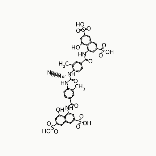 Cc1cc(C(=O)Nc2cc(S(=O)(=O)O)cc3cc(S(=O)(=O)O)cc(O)c23)ccc1NC(=O)Nc1ccc(C(=O)Nc2cc(S(=O)(=O)O)cc3cc(S(=O)(=O)O)cc(O)c23)cc1C.[Na].[Na].[Na].[Na]